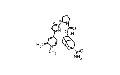 C=C1C=C(c2csc([C@H]3CCCN3C(=O)O[C@H]3C4CC5CC3C[C@](C(N)=O)(C5)C4)n2)C=CN1C